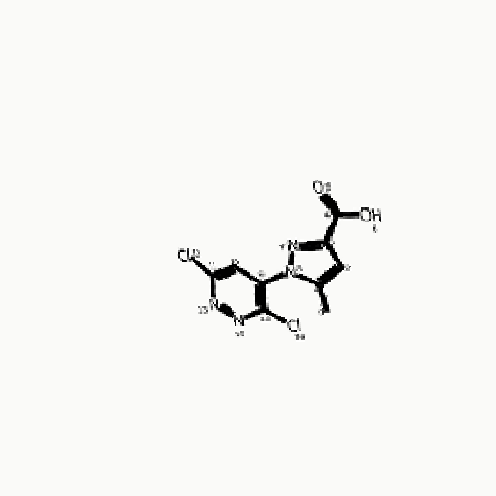 Cc1cc(C(=O)O)nn1-c1cc(Cl)nnc1Cl